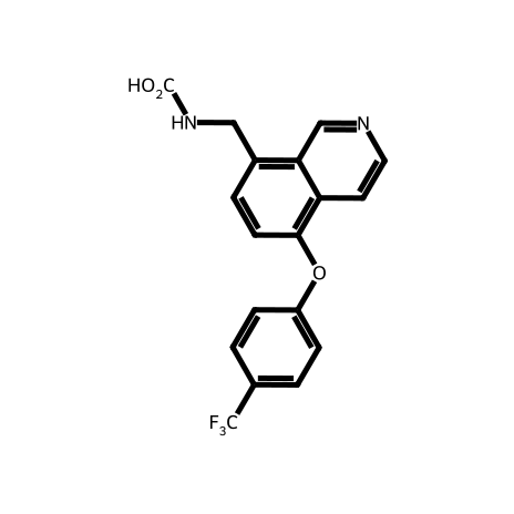 O=C(O)NCc1ccc(Oc2ccc(C(F)(F)F)cc2)c2ccncc12